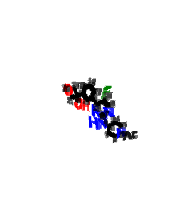 CC(=O)N1CCC(Nc2ncc(F)c(-c3cccc(C4(O)COC4)c3)n2)CC1